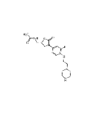 CC(=O)NC[C@H]1CN(c2ccc(OCCC3CCNCC3)c(F)c2)C(=O)O1